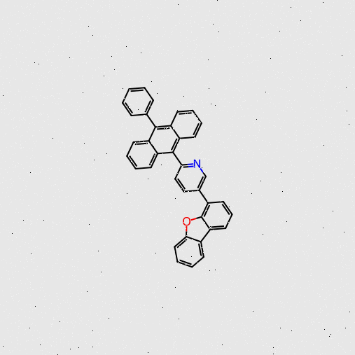 c1ccc(-c2c3ccccc3c(-c3ccc(-c4cccc5c4oc4ccccc45)cn3)c3ccccc23)cc1